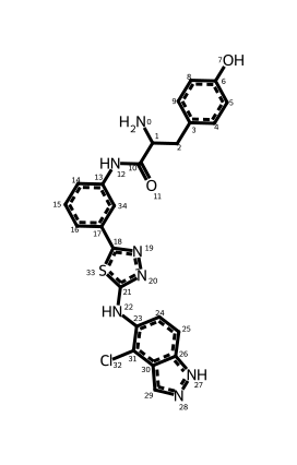 NC(Cc1ccc(O)cc1)C(=O)Nc1cccc(-c2nnc(Nc3ccc4[nH]ncc4c3Cl)s2)c1